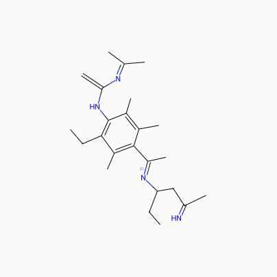 C=C(N=C(C)C)Nc1c(C)c(C)c(/C(C)=N/C(CC)CC(C)=N)c(C)c1CC